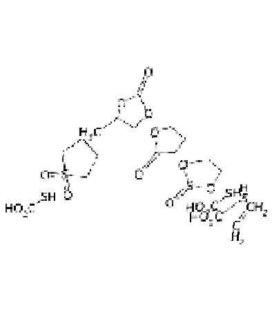 C=C.CC1COC(=O)O1.O=C(O)S.O=C(O)S.O=C(O)S.O=C1CCCO1.O=S1(=O)CCCC1.O=S1OCCO1